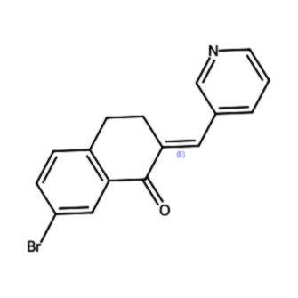 O=C1/C(=C/c2cccnc2)CCc2ccc(Br)cc21